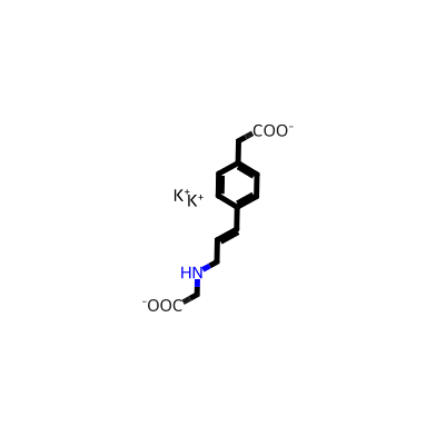 O=C([O-])CNCC=Cc1ccc(CC(=O)[O-])cc1.[K+].[K+]